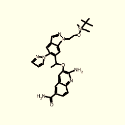 CC(Oc1cc2cc(C(N)=O)ccc2nc1N)c1cc2c(cnn2CCO[Si](C)(C)C(C)(C)C)cc1-n1cccn1